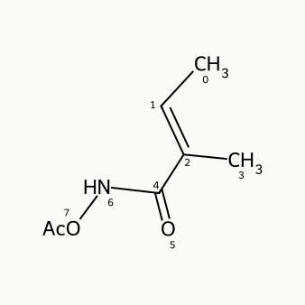 CC=C(C)C(=O)NOC(C)=O